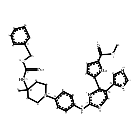 COC(=O)c1ccc(-c2nc(Nc3ccc(N4CCC(C)(NC(=O)OCc5ccccc5)CC4)cc3)ncc2-c2cnco2)o1